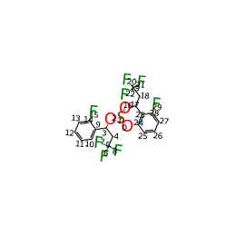 O=S(OC(CC(F)(F)F)c1ccccc1F)OC(CC(F)(F)F)c1ccccc1F